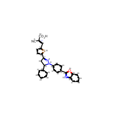 N#C/C(=C\c1ccc(C2=NN(c3ccc(-c4nc5ccccc5o4)cc3)C(c3ccccc3)C2)s1)C(=O)O